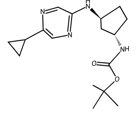 CC(C)(C)OC(=O)N[C@H]1CC[C@H](Nc2cnc(C3CC3)cn2)C1